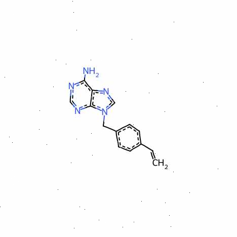 C=Cc1ccc(Cn2cnc3c(N)ncnc32)cc1